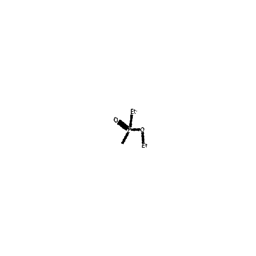 C[CH]P(C)(=O)OCC